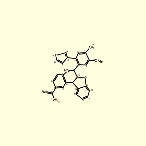 COc1cc(C2Nc3ccc(C(=N)N)cc3C3c4ccccc4CC23)c(-c2ccsc2)cc1O